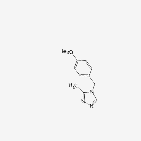 COc1ccc(Cn2cnnc2C)cc1